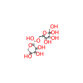 OC[C@@]1(O)O[C@H](COC(O)[C@H]2OC[C@@H](O)[C@@H](O)[C@H]2O)[C@@H](O)[C@H]1O